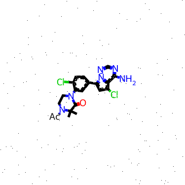 CC(=O)N1CCN(c2cc(-c3cc(Cl)c4c(N)ncnn34)ccc2Cl)C(=O)C1(C)C